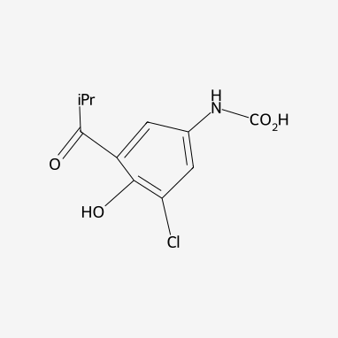 CC(C)C(=O)c1cc(NC(=O)O)cc(Cl)c1O